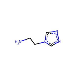 NCCn1[c]nnc1